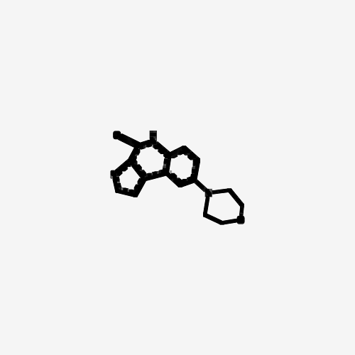 O=c1[nH]c2ccc(N3CCOCC3)cc2c2ccsc12